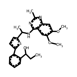 CCC(O)c1ccccc1-c1ccc(C(C)Nc2nc(C)nc3cc(OC)c(OC)cc23)s1